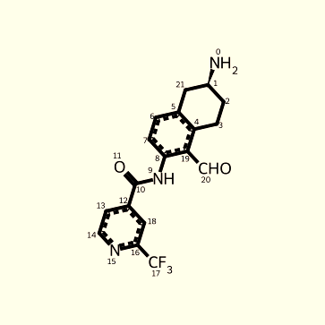 N[C@H]1CCc2c(ccc(NC(=O)c3ccnc(C(F)(F)F)c3)c2C=O)C1